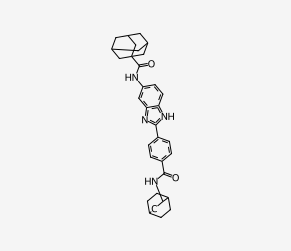 O=C(NC1CC2CCC1CC2)c1ccc(-c2nc3cc(NC(=O)C45CC6CC(CC(C6)C4)C5)ccc3[nH]2)cc1